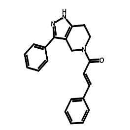 O=C(/C=C/c1ccccc1)N1CCc2[nH]nc(-c3ccccc3)c2C1